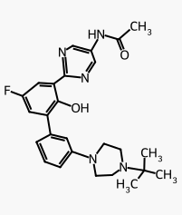 CC(=O)Nc1cnc(-c2cc(F)cc(-c3cccc(N4CCN(C(C)(C)C)CC4)c3)c2O)nc1